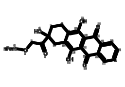 CCCCCOCC(=O)C1(O)CCc2c(O)c3c(c(O)c2C1)C(=O)c1ccccc1C3=O